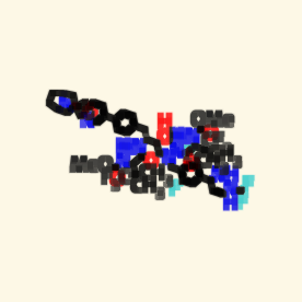 COC(=O)N[C@H](C(=O)N[C@@H](Cc1ccc(-c2ccc(C3CC4CCC(C3)N4C3COC3)nc2)cc1)[C@@H](O)CN(Cc1c(F)cc(C(=N)/C=C\NC(F)F)cc1F)NC(=O)[C@@H](NC(=O)OC)C(C)(C)C(F)(F)F)C(C)(C)C(F)(F)F